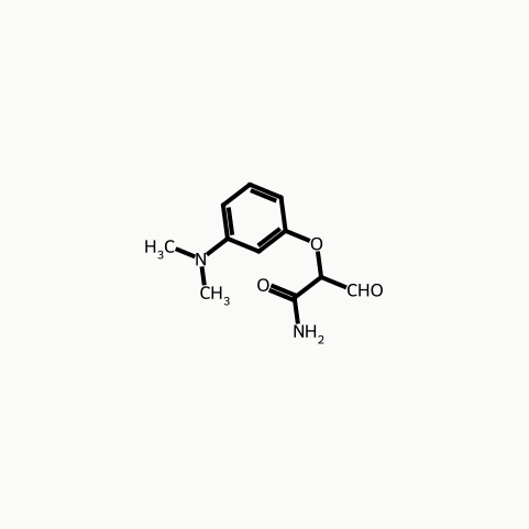 CN(C)c1cccc(OC(C=O)C(N)=O)c1